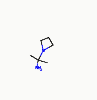 CC(C)(N)N1CCC1